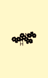 CC1(C)c2ccccc2-c2ccc(Nc3c4ccccc4c(Nc4ccc5c(c4)C(C)(C)c4ccccc4-5)c4cc5c(cc34)-c3ccccc3C5(C)C)cc21